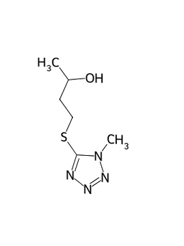 CC(O)CCSc1nnnn1C